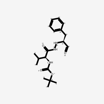 CC(C)[C@H](NC(=O)OC(C)(C)C)C(=O)NN[C@H](C=O)Cc1ccccc1